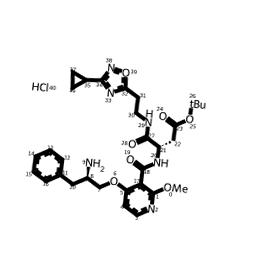 COc1nccc(OC[C@H](N)Cc2ccccc2)c1C(=O)N[C@@H](CC(=O)OC(C)(C)C)C(=O)NCCc1nc(C2CC2)no1.Cl